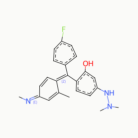 C/N=C1C=C/C(=C(\c2ccc(F)cc2)c2ccc(NN(C)C)cc2O)C(C)=C\1